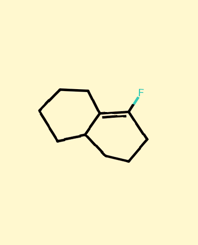 FC1=C2CCCCC2CCC1